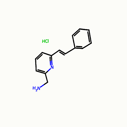 Cl.NCc1cccc(C=Cc2ccccc2)n1